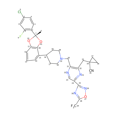 C[C@]1(c2ccc(Cl)cc2F)Oc2cccc(C3CCN(Cc4ncc(-c5noc(C(F)(F)F)n5)nc4CC4(C#N)CC4)CC3)c2O1